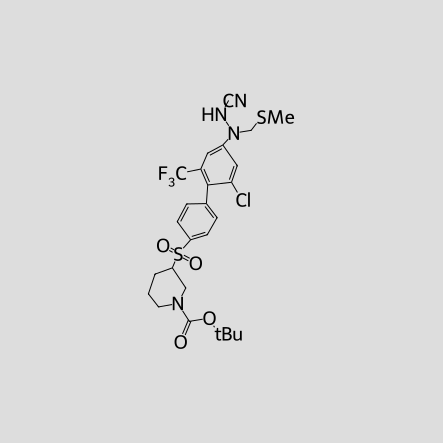 CSCN(NC#N)c1cc(Cl)c(-c2ccc(S(=O)(=O)C3CCCN(C(=O)OC(C)(C)C)C3)cc2)c(C(F)(F)F)c1